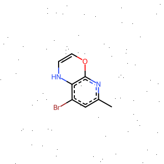 Cc1cc(Br)c2c(n1)OC=CN2